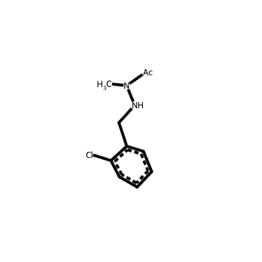 CC(=O)N(C)NCc1ccccc1Cl